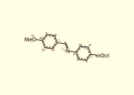 CCCCCCCCc1ccc(/N=C/c2ccc(OC)cc2)cc1